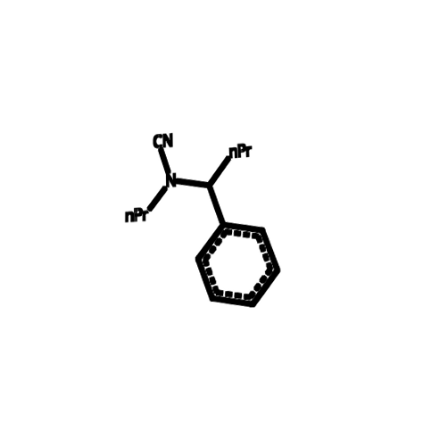 CCCC(c1ccccc1)N(C#N)CCC